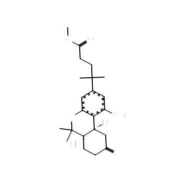 COC(=O)CCC(C)(C)c1cc(O)c2c(c1)OC(C)(C)[C@@H]1CCC(=O)C[C@@H]21